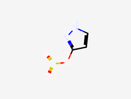 O=[SH](=O)Oc1cc[nH]n1